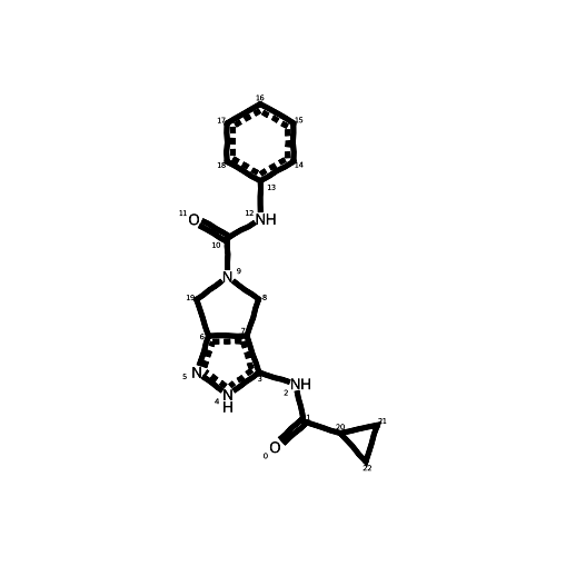 O=C(Nc1[nH]nc2c1CN(C(=O)Nc1ccccc1)C2)C1CC1